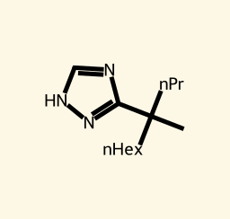 CCCCCCC(C)(CCC)c1nc[nH]n1